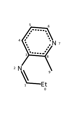 CC/C=N\c1cccnc1C